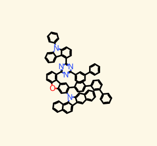 c1ccc(-c2cccc(-c3ccc(-c4cc5c(cc4-n4c6cc7ccccc7cc6c6ccc7ccccc7c64)oc4cccc(-c6nc(-c7cccc(-c8ccccc8)c7)nc(-c7cccc8c7c7ccccc7n8-c7ccccc7)n6)c45)cc3)c2)cc1